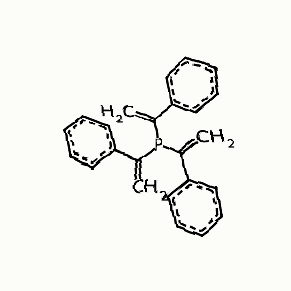 C=C(c1ccccc1)P(C(=C)c1ccccc1)C(=C)c1ccccc1